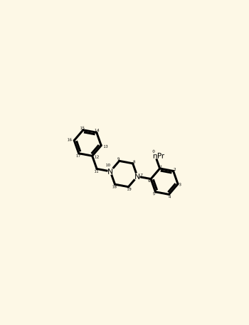 CCCc1ccccc1N1CCN(Cc2ccccc2)CC1